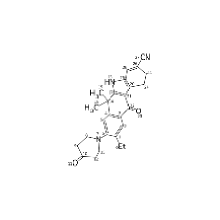 CCc1cc2c(cc1N1CCC(=O)CC1)C(C)(C)c1[nH]c3c(c1C2=O)CCC(C#N)=C3